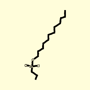 CCCCCCCCCCCC[O][Sn]([Cl])([Cl])[CH2]CC